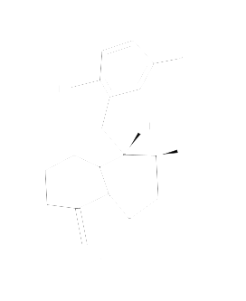 C=C1CCC[C@H]2[C@](C)(Cc3cc(O)ccc3O)[C@@H](C)CC[C@@]12C